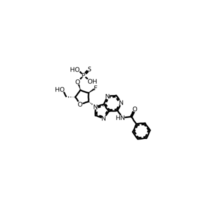 O=C(Nc1ncnc2c1ncn2[C@@H]1O[C@H](CO)[C@@H](OP(O)(O)=S)[C@H]1F)c1ccccc1